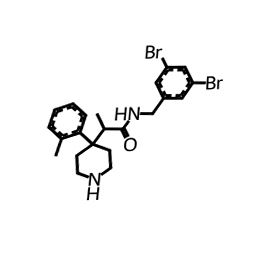 Cc1ccccc1C1(C(C)C(=O)NCc2cc(Br)cc(Br)c2)CCNCC1